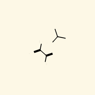 CC(C)[SiH3].O=C(O)C(=O)O